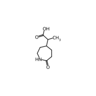 CC(C(=O)O)C1CCNC(=O)CC1